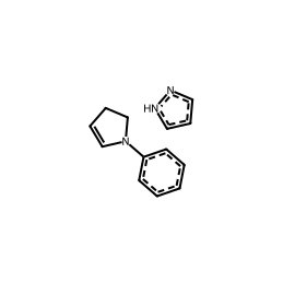 C1=CN(c2ccccc2)CC1.c1cn[nH]c1